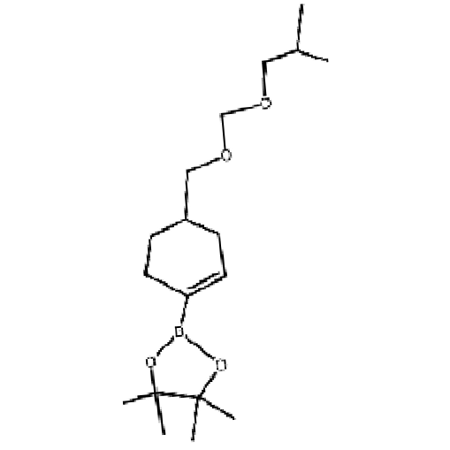 CC(C)COCOCC1CC=C(B2OC(C)(C)C(C)(C)O2)CC1